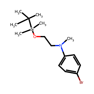 CN(CCO[Si](C)(C)C(C)(C)C)c1ccc(Br)cc1